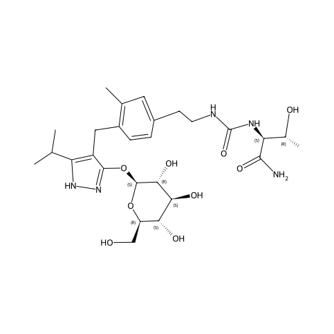 Cc1cc(CCNC(=O)N[C@H](C(N)=O)[C@@H](C)O)ccc1Cc1c(O[C@@H]2O[C@H](CO)[C@@H](O)[C@H](O)[C@H]2O)n[nH]c1C(C)C